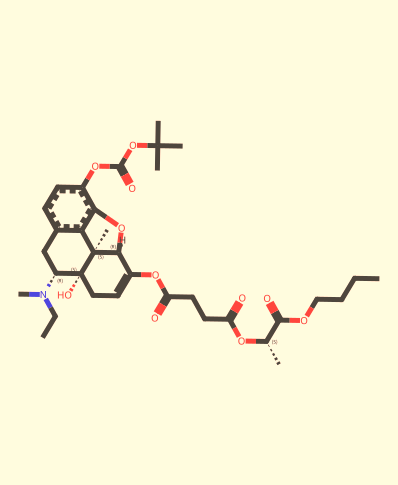 CCCCOC(=O)[C@H](C)OC(=O)CCC(=O)OC1=CC[C@@]2(O)[C@H](N(C)CC)Cc3ccc(OC(=O)OC(C)(C)C)c4c3[C@@]2(C)[C@H]1O4